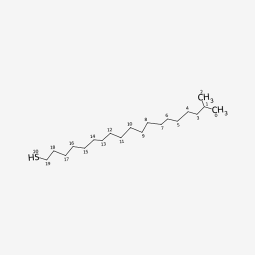 CC(C)CCCCCCCCCCCCCCCCCS